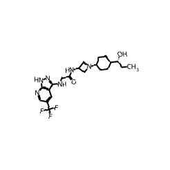 CC[C@@H](O)C1CCC(N2CC(NC(=O)CNc3n[nH]c4ncc(C(F)(F)F)cc34)C2)CC1